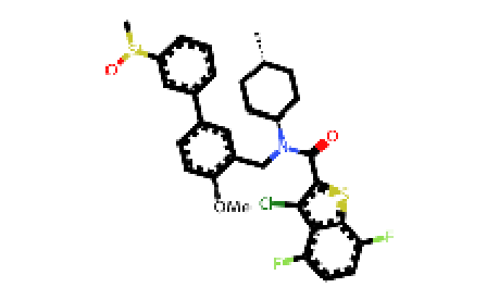 COc1ccc(-c2cccc([S+](C)[O-])c2)cc1CN(C(=O)c1sc2c(F)ccc(F)c2c1Cl)[C@H]1CC[C@H](C)CC1